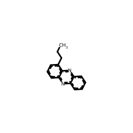 CCCc1cccc2nc3ccccc3nc12